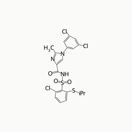 Cc1nc(C(=O)NS(=O)(=O)c2c(Cl)cccc2SC(C)C)cn1-c1cc(Cl)cc(Cl)c1